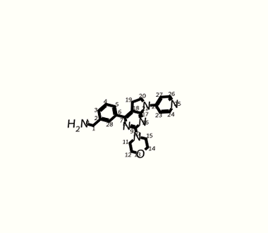 NCc1cccc(-c2nc(N3CCOCC3)nc3c2CCN3c2ccncc2)c1